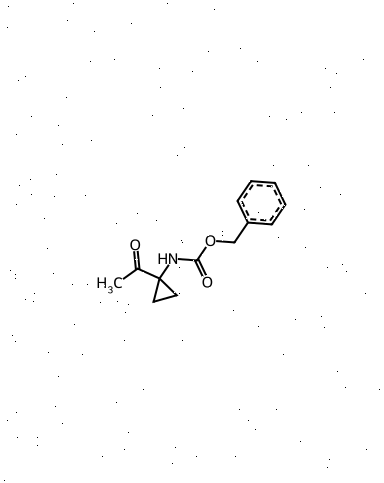 CC(=O)C1(NC(=O)OCc2ccccc2)CC1